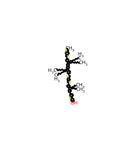 CCCCCCCCC1(CCCCCCCC)c2cc(-c3cc4cc5sc(C)cc5cc4s3)ccc2-c2cc3cc4c(cc3cc21)-c1ccc(-c2cc3cc5sc(-c6ccc7c(c6)C(CCCCC)(CCCCC)C6=CC(c8ccc9c(c8)sc8cc(O)ccc89)CC=C67)cc5cc3s2)cc1C4(CCCCCCCC)CCCCCCCC